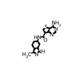 Cc1n[nH]c2cc(NC(=O)c3csc4c(N)ncnc34)ccc12